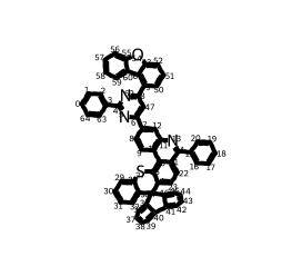 c1ccc(-c2nc(-c3ccc4c(c3)nc(-c3ccccc3)c3ccc5c(c34)Sc3ccccc3C53c4ccccc4-c4ccccc43)cc(-c3cccc4oc5ccccc5c34)n2)cc1